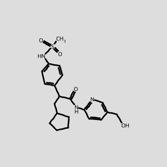 CS(=O)(=O)Nc1ccc(C(CC2CCCC2)C(=O)Nc2ccc(CO)cn2)cc1